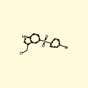 O=S(=O)(c1ccc(Br)cc1)c1ccc2[nH]cc(CCl)c2c1